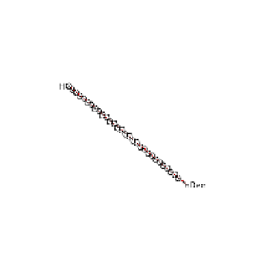 CCCCCCCCCCCCCCCCOCCOCCOCCOCCOCCOCCOCCOCCOCCOCCOCCOCCOCCOCCOCCOCCOCCOCCOCCOCCOCCOCCOCCOCCOCCOCCOCCOCCOCCO